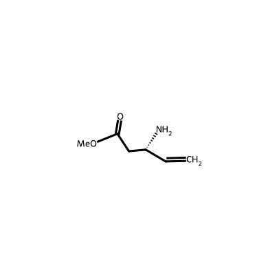 C=C[C@@H](N)CC(=O)OC